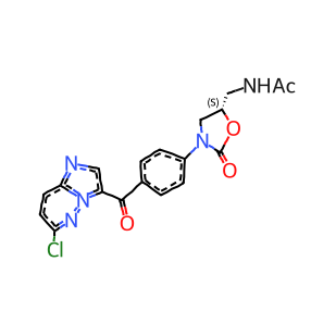 CC(=O)NC[C@H]1CN(c2ccc(C(=O)c3cnc4ccc(Cl)nn34)cc2)C(=O)O1